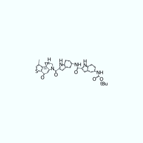 Cc1csc2c1[C@]13C[C@H]1CN(C(=O)c1cc4cc(NC(=O)c5cc6cc(NC(=O)OC(C)(C)C)ccc6[nH]5)ccc4[nH]1)C3=CC2=O